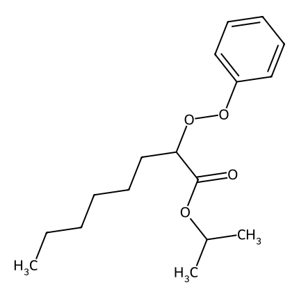 CCCCCCC(OOc1ccccc1)C(=O)OC(C)C